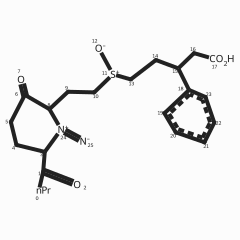 CCCC(=O)C1CCC(=O)C(CC[S+]([O-])CCC(CC(=O)O)c2ccccc2)[N+]1=[N-]